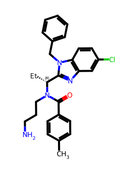 CC[C@H](c1nc2cc(Cl)ccc2n1Cc1ccccc1)N(CCCN)C(=O)c1ccc(C)cc1